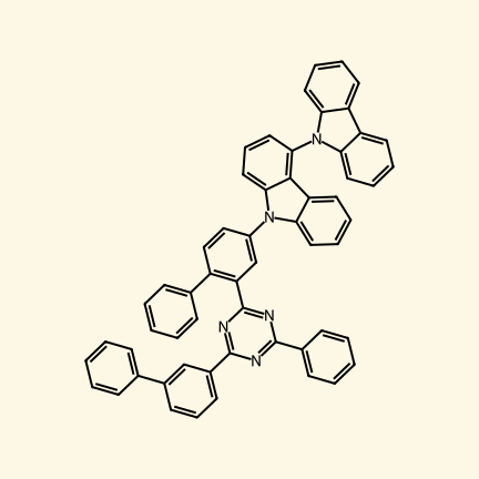 c1ccc(-c2cccc(-c3nc(-c4ccccc4)nc(-c4cc(-n5c6ccccc6c6c(-n7c8ccccc8c8ccccc87)cccc65)ccc4-c4ccccc4)n3)c2)cc1